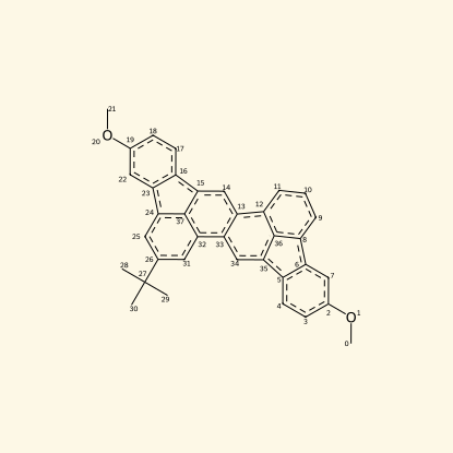 COc1ccc2c(c1)c1cccc3c4cc5c6ccc(OC)cc6c6cc(C(C)(C)C)cc(c4cc2c13)c65